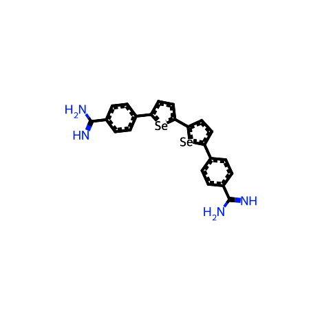 N=C(N)c1ccc(-c2ccc(-c3ccc(-c4ccc(C(=N)N)cc4)[se]3)[se]2)cc1